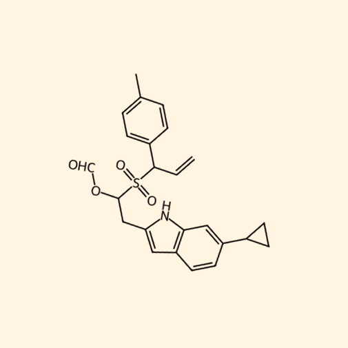 C=CC(c1ccc(C)cc1)S(=O)(=O)C(Cc1cc2ccc(C3CC3)cc2[nH]1)OC=O